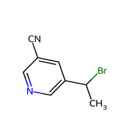 CC(Br)c1cncc(C#N)c1